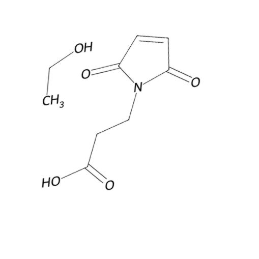 CCO.O=C(O)CCN1C(=O)C=CC1=O